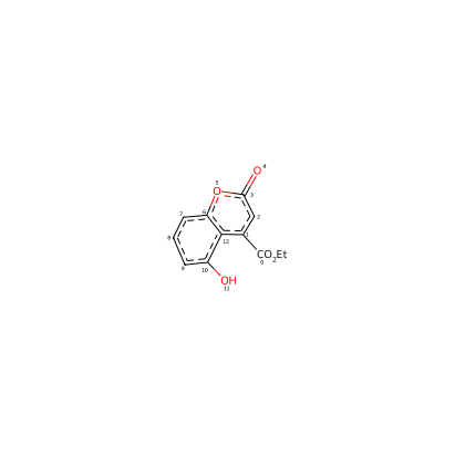 CCOC(=O)c1cc(=O)oc2cccc(O)c12